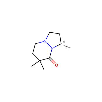 C[C@H]1CCN2CCC(C)(C)C(=O)N12